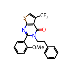 COc1ccccc1-c1nc2scc(C(F)(F)F)c2c(=O)n1CCc1ccccc1